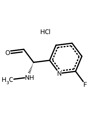 CN[C@H](C=O)c1cccc(F)n1.Cl